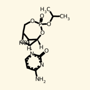 CC(C)OP1(=O)OCC2O[C@@H](n3ccc(N)nc3=O)[C@@H](O1)[C@@H]2O